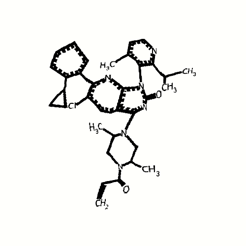 C=CC(=O)N1CC(C)N(c2nc(=O)n(-c3c(C)ccnc3C(C)C)c3nc(-c4ccccc4C4CC4)c(Cl)cc23)CC1C